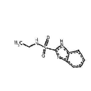 CCNS(=O)(=O)c1nc2ccccc2[nH]1